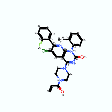 C=CC(=O)N1CCN(c2nc(=O)n(-c3ccccc3C(C)C)c3nc(-c4ccccc4F)c(Cl)cc23)CC1